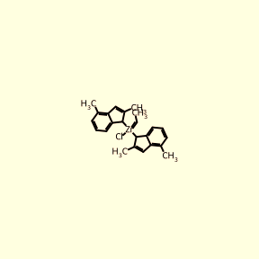 C[CH]=[Zr]([Cl])([CH]1C(C)=Cc2c(C)cccc21)[CH]1C(C)=Cc2c(C)cccc21